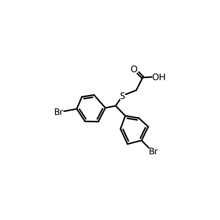 O=C(O)CSC(c1ccc(Br)cc1)c1ccc(Br)cc1